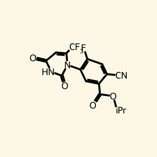 CC(C)OC(=O)c1cc(-n2c(C(F)(F)F)cc(=O)[nH]c2=O)c(F)cc1C#N